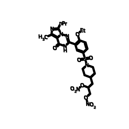 CCCc1nc(C)c2c(=O)[nH]c(-c3cc(S(=O)(=O)N4CCC(CC(CO[N+](=O)[O-])O[N+](=O)[O-])CC4)ccc3OCC)nn12